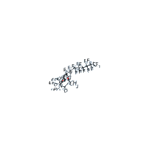 CCCN(C(=O)C(C)S(=O)(=O)C(F)(F)C(F)(F)C(F)(F)C(F)(F)C(F)(F)C(F)(F)C(F)(F)C(F)(F)F)[Si](OCC)(OCC)OCC